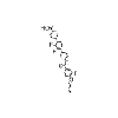 C=CCCOc1ccc(C(=O)OC2CCC(c3ccc(C4CCC(C(C)O)CC4)c(F)c3F)CC2)cc1F